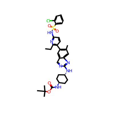 CCc1nc(NS(=O)(=O)c2ccccc2Cl)ccc1-c1cc2cnc(N[C@H]3CC[C@H](NC(=O)OC(C)(C)C)CC3)nc2cc1C